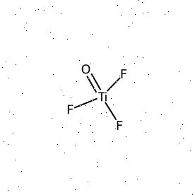 [O]=[Ti]([F])([F])[F]